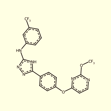 FC(F)(F)Oc1nccc(Oc2ccc(-c3nnc(Nc4cccc(C(F)(F)F)c4)[nH]3)cc2)n1